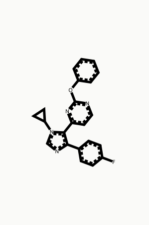 Fc1ccc(-c2ncn(C3CC3)c2-c2ccnc(Oc3ccccc3)n2)cc1